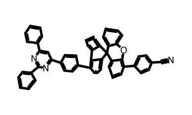 N#Cc1ccc(-c2cccc3c2Oc2ccccc2C32c3ccccc3-c3c(-c4ccc(-c5cc(-c6ccccc6)nc(-c6ccccc6)n5)cc4)cccc32)cc1